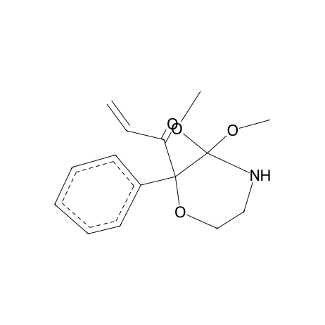 C=CC(=O)C1(c2ccccc2)OCCNC1(OC)OC